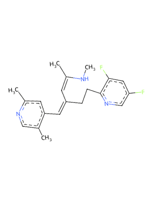 CN/C(C)=C\C(=C/c1cc(C)ncc1C)CCc1ncc(F)cc1F